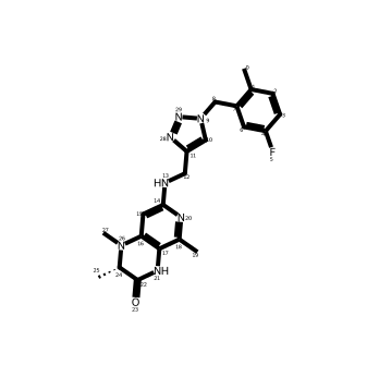 Cc1ccc(F)cc1Cn1cc(CNc2cc3c(c(C)n2)NC(=O)[C@H](C)N3C)nn1